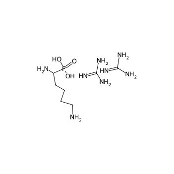 N=C(N)N.N=C(N)N.NCCCCC(N)P(=O)(O)O